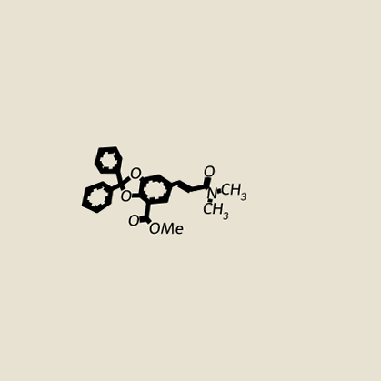 COC(=O)c1cc(C=CC(=O)N(C)C)cc2c1OC(c1ccccc1)(c1ccccc1)O2